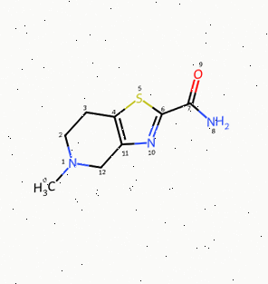 CN1CCc2sc(C(N)=O)nc2C1